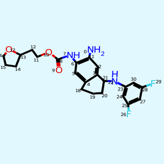 Nc1cc2c(cc1NC(=O)OCCC1CCCO1)CCCC2Nc1cc(F)cc(F)c1